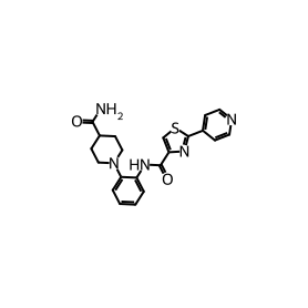 NC(=O)C1CCN(c2ccccc2NC(=O)c2csc(-c3ccncc3)n2)CC1